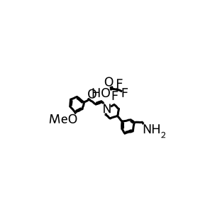 COc1cccc(C(=O)C=CN2CCC(c3cccc(CN)c3)CC2)c1.O=C(O)C(F)(F)F